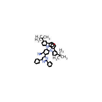 CC(C)(C)c1ccc2c(c1)c1ccccc1n2-c1cc(C#N)c(-c2cc(-c3ccccc3)nc(-c3ccccc3)n2)cc1-n1c2ccccc2c2cc(C(C)(C)C)ccc21